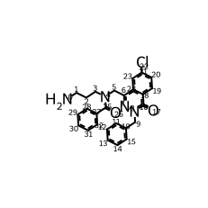 NCCCN(Cc1nn(Cc2ccccc2)c(=O)c2ccc(Cl)cc12)C(=O)c1ccccc1